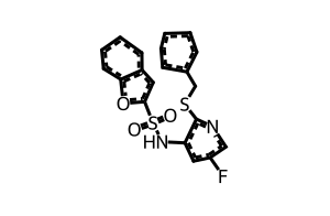 O=S(=O)(Nc1cc(F)cnc1SCc1ccccc1)c1cc2ccccc2o1